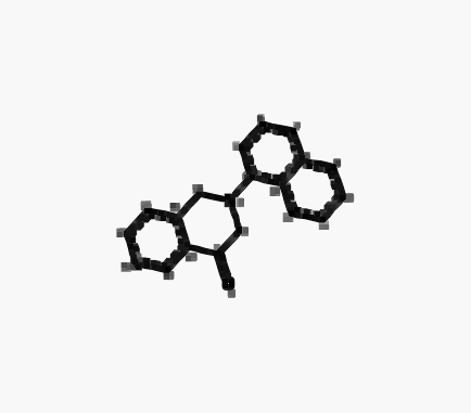 O=C1CN(c2cccc3ccccc23)Cc2ccncc21